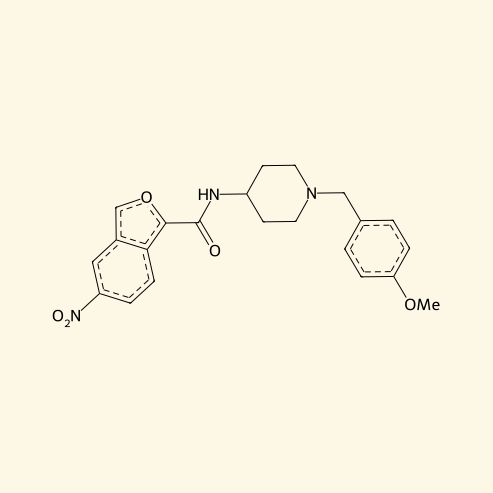 COc1ccc(CN2CCC(NC(=O)c3occ4cc([N+](=O)[O-])ccc34)CC2)cc1